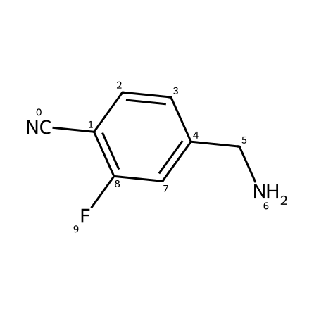 N#Cc1ccc(CN)cc1F